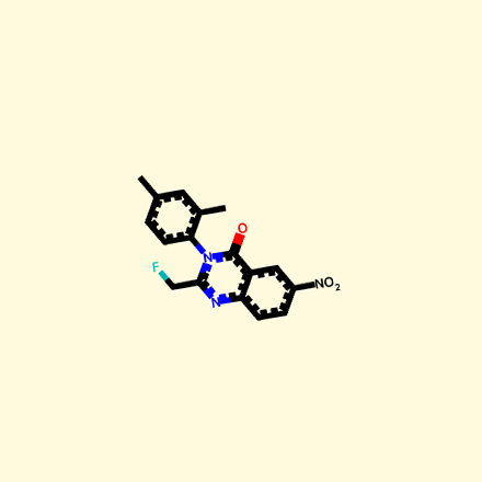 Cc1ccc(-n2c(CF)nc3ccc([N+](=O)[O-])cc3c2=O)c(C)c1